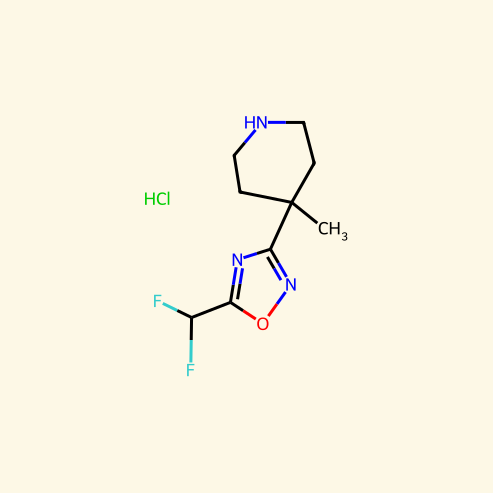 CC1(c2noc(C(F)F)n2)CCNCC1.Cl